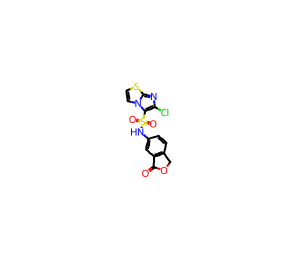 O=C1OCc2ccc(NS(=O)(=O)c3c(Cl)nc4sccn34)cc21